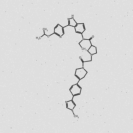 CCN(C(=O)C1CCN(CC(=O)N2CC=C(c3ccc(-c4cn(C)cn4)cc3)CC2)C1)c1ccc2[nH]nc(-c3ccc(OC(C)C)nc3)c2c1